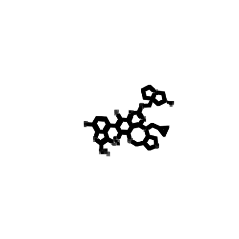 N#Cc1c(N)sc2c(F)ccc(-c3c(Cl)c4c5c(nc(OC[C@@]67CCCN6C[C@H](F)C7)nc5c3F)N(CC3CC3)C3COCC3CO4)c12